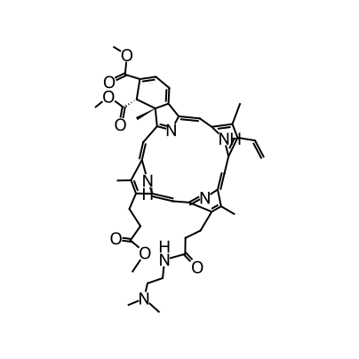 C=Cc1c(C)c2cc3nc(cc4[nH]c(cc5nc(cc1[nH]2)C(C)=C5CCC(=O)NCCN(C)C)c(CCC(=O)OC)c4C)[C@@]1(C)C3=CC=C(C(=O)OC)[C@H]1C(=O)OC